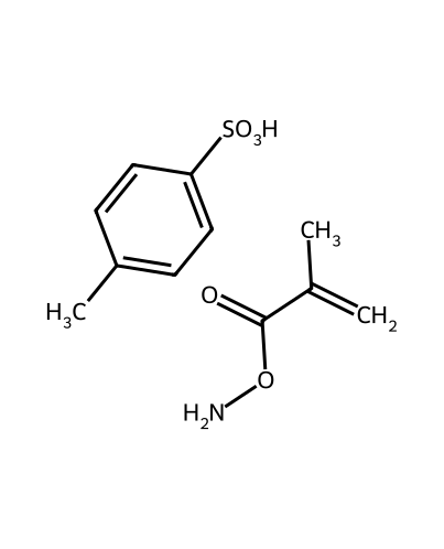 C=C(C)C(=O)ON.Cc1ccc(S(=O)(=O)O)cc1